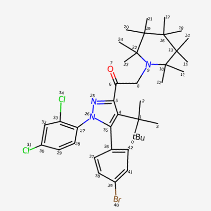 CC(C)(C)C(C)(C)c1c(C(=O)CN2C(C)(C)C(C)(C)C(C)(C)C(C)(C)C2(C)C)nn(-c2ccc(Cl)cc2Cl)c1-c1ccc(Br)cc1